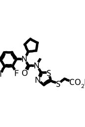 CN(C(=O)N(c1cccc(Cl)c1F)C1CCCC1)c1ncc(SCC(=O)O)s1